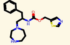 O=C(NC(Cc1ccccc1)CN1CCCNCC1)OCc1cncs1